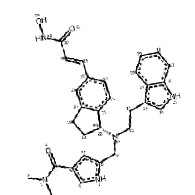 CN(C)C(=O)c1c[nH]c(CN(CCc2c[nH]c3ccccc23)[C@@H]2CCc3cc(C=CC(=O)NO)ccc32)c1